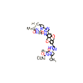 COC(=O)NC(C(=O)N1C2C(C)C2C[C@H]1c1ncc(-c2cc3c4c(c2)OCc2cc(-c5cnc([C@@H]6CC7C(C)C7N6C(=O)[C@@H](NC(=O)OC)C(C)C)[nH]5)cc(c2-4)OC3)[nH]1)C(C)C